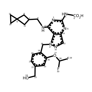 O=C(O)Nc1nc(NCC2CC3(CC3)C2)c2c(cnn2Cc2ccc(CO)cc2OC(F)F)n1